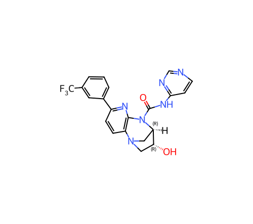 O=C(Nc1ccncn1)N1c2nc(-c3cccc(C(F)(F)F)c3)ccc2N2C[C@@H](O)[C@H]1C2